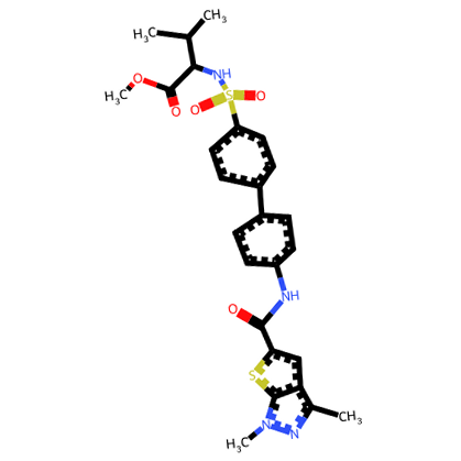 COC(=O)C(NS(=O)(=O)c1ccc(-c2ccc(NC(=O)c3cc4c(C)nn(C)c4s3)cc2)cc1)C(C)C